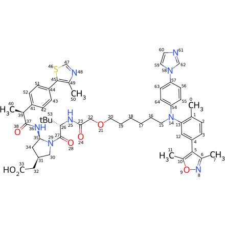 Cc1ccc(-c2c(C)noc2C)cc1N(CCCCCCOCC(=O)N[C@H](C(=O)N1C[C@@H](CC(=O)O)C[C@H]1NC(=O)[C@@H](C)c1ccc(-c2scnc2C)cc1)C(C)(C)C)c1ccc(-n2ccnc2)cc1